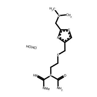 CNC(=N)N(CCSCc1csc(CN(C)C)n1)C(N)=O.Cl.Cl